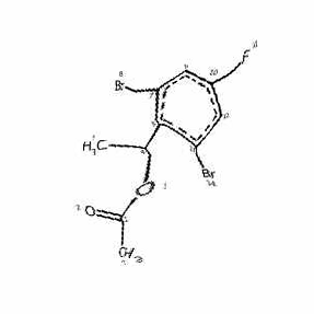 CC(=O)OC(C)c1c(Br)cc(F)cc1Br